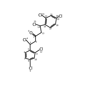 O=C(CC(Cl)c1ccc(Cl)cc1Cl)CC(Cl)c1ccc(Cl)cc1Cl